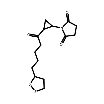 O=C(CCCCC1CCSS1)C1CC1N1C(=O)CCC1=O